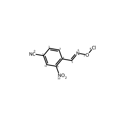 N#Cc1ccc(/C=N/OCl)c([N+](=O)[O-])c1